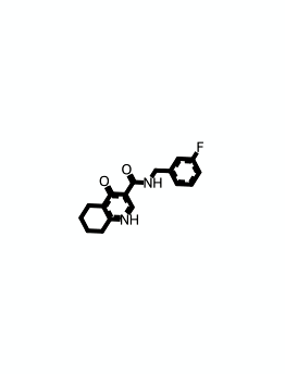 O=C(NCc1cccc(F)c1)c1c[nH]c2c(c1=O)CCCC2